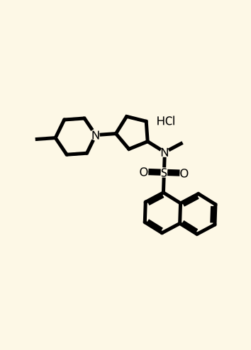 CC1CCN(C2CCC(N(C)S(=O)(=O)c3cccc4ccccc34)C2)CC1.Cl